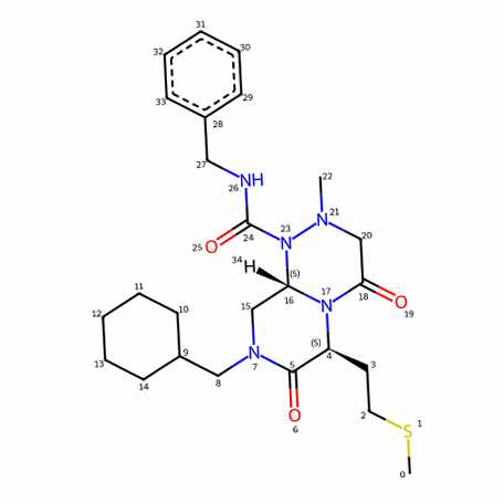 CSCC[C@H]1C(=O)N(CC2CCCCC2)C[C@H]2N1C(=O)CN(C)N2C(=O)NCc1ccccc1